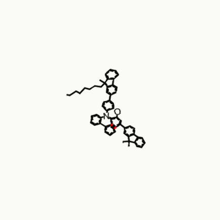 CCCCCCCCC1(C)c2ccccc2-c2ccc(-c3ccc4c(c3)Oc3cc(-c5ccc6c(c5)C(C)(C)c5ccccc5-6)ccc3N4c3ccccc3-c3ccccc3)cc21